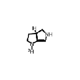 [2H]N1CC[C@@H]2CNC=C21